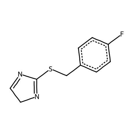 Fc1ccc(CSC2=NCC=N2)cc1